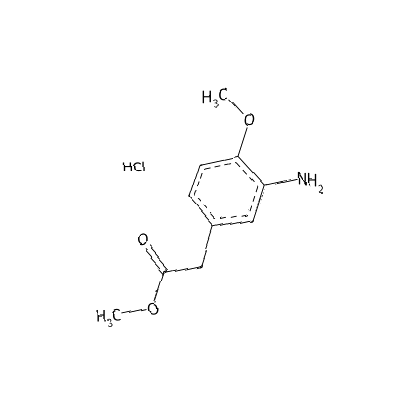 COC(=O)Cc1ccc(OC)c(N)c1.Cl